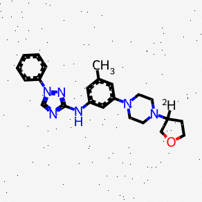 [2H]C1(N2CCN(c3cc(C)cc(Nc4ncn(-c5ccccc5)n4)c3)CC2)CCOC1